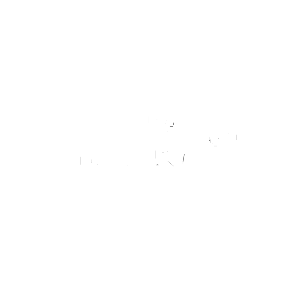 CC(C)(O)CCOC[C@H]1CC[C@H]2C3=CC=C4C[C@@H](O[Si](C)(C)C(C)(C)C)C[C@H](O[Si](C)(C)C(C)(C)C)[C@]4(C)[C@H]3CC[C@]12C